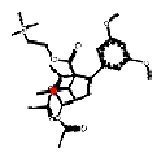 COc1cc(OC)cc(C2CC3C(OC(C)=O)C(C)=C(C)C2(C(=O)OCC[Si](C)(C)C)C3OC(C)=O)c1